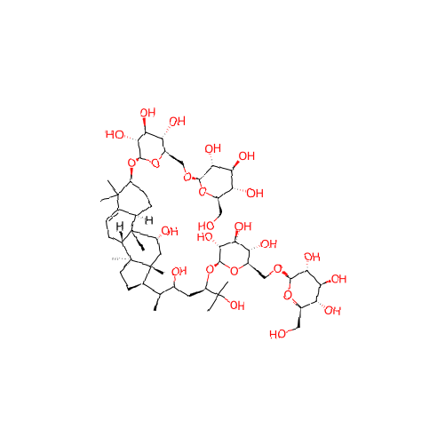 C[C@H](C(O)C[C@@H](O[C@@H]1O[C@H](CO[C@@H]2O[C@H](CO)[C@@H](O)[C@H](O)[C@H]2O)[C@@H](O)[C@H](O)[C@H]1O)C(C)(C)O)[C@H]1CC[C@@]2(C)[C@@H]3CC=C4[C@@H](CC[C@H](O[C@@H]5O[C@H](CO[C@@H]6O[C@H](CO)[C@@H](O)[C@H](O)[C@H]6O)[C@@H](O)[C@H](O)[C@H]5O)C4(C)C)[C@]3(C)[C@H](O)C[C@]12C